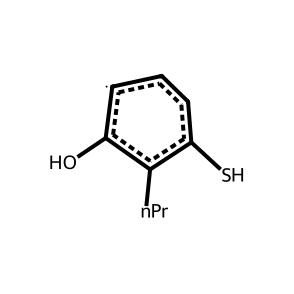 CCCc1c(O)[c]ccc1S